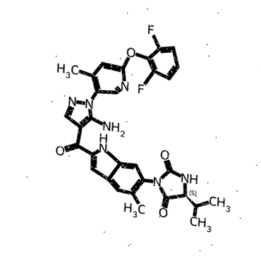 Cc1cc2cc(C(=O)c3cnn(-c4cnc(Oc5c(F)cccc5F)cc4C)c3N)[nH]c2cc1N1C(=O)N[C@@H](C(C)C)C1=O